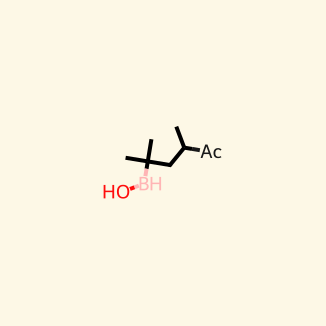 CC(=O)C(C)CC(C)(C)BO